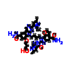 CCn1nc(C)cc1C(=O)Nc1nc2cc(C(N)=O)c3ccoc3c2n1C/C=C/Cn1c2nc(-c3cc(C)nn3CC)ncc2c2cc(C(N)=O)cc(OCCCO)c21